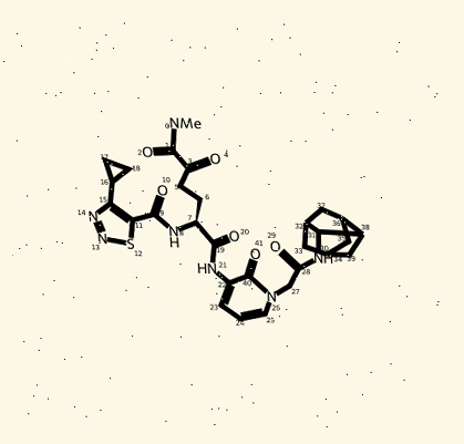 CNC(=O)C(=O)CC[C@H](NC(=O)c1snnc1C1CC1)C(=O)Nc1cccn(CC(=O)NC2C3CC4CC(C3)C2C4)c1=O